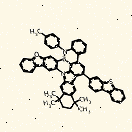 Cc1ccc(N2B3c4cc5oc6ccccc6c5cc4-n4c5cc6c(cc5c5c(-c7ccc8c(c7)sc7ccccc78)cc(c3c54)-c3ccccc32)C(C)(C)CCC6(C)C)cc1